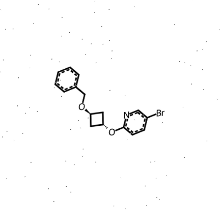 Brc1ccc(O[C@H]2C[C@H](OCc3ccccc3)C2)nc1